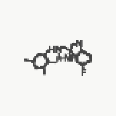 Cc1cc(C)c(C[C@@H]2NCC3(C=Nc4ccc(F)cc43)N2)c(C)c1